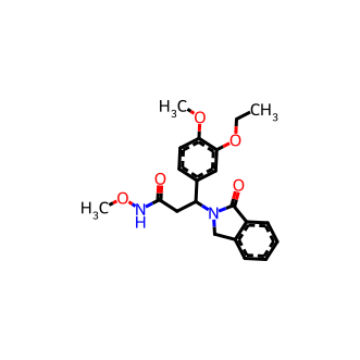 CCOc1cc(C(CC(=O)NOC)N2Cc3ccccc3C2=O)ccc1OC